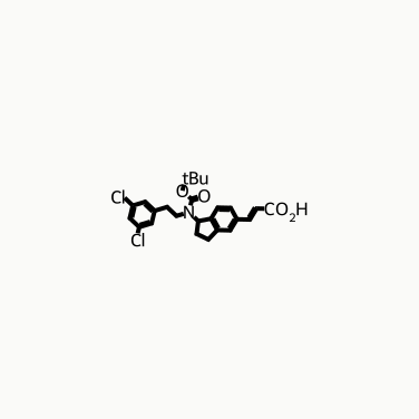 CC(C)(C)OC(=O)N(CCc1cc(Cl)cc(Cl)c1)C1CCc2cc(/C=C/C(=O)O)ccc21